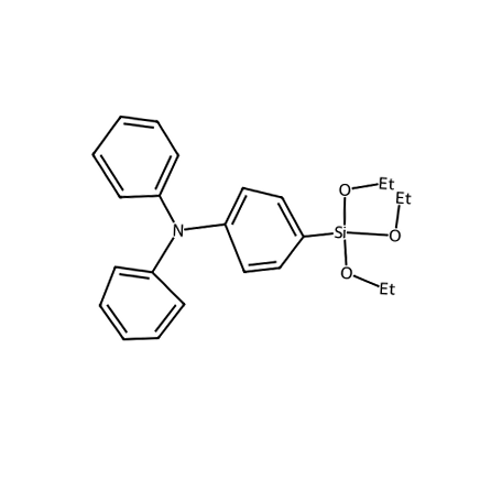 CCO[Si](OCC)(OCC)c1ccc(N(c2ccccc2)c2ccccc2)cc1